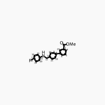 COC(=O)c1cccc(-c2ccc(CNc3ccc(F)cc3)cc2)c1